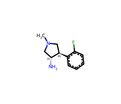 CN1C[C@@H](N)[C@H](c2ccccc2F)C1